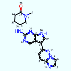 CN1C[C@H](Nc2ncc3c(-c4ccc5nccn5n4)c[nH]c3n2)CCC1=O